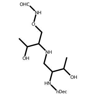 CCCCCCCCCCNC(CNC(CONC=O)C(C)O)C(C)O